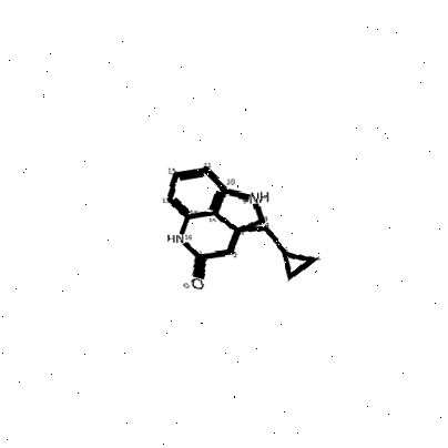 O=C1CC2(CC3CC3)CNc3cccc(c32)N1